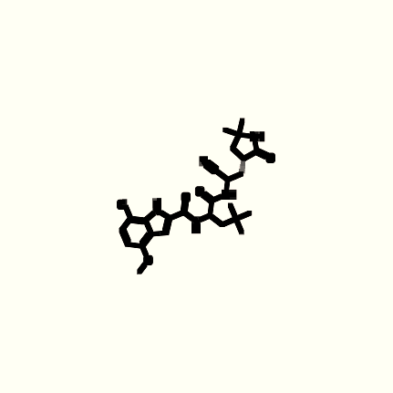 COc1ccc(Cl)c2[nH]c(C(=O)NC(CC(C)(C)C)C(=O)NC(C#N)C[C@@H]3CC(C)(C)NC3=O)cc12